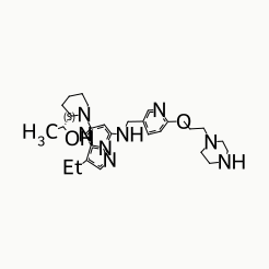 CCc1cnn2c(NCc3ccc(OCCN4CCNCC4)nc3)cc(N3CCCC[C@H]3C(C)O)nc12